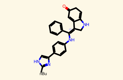 CCCCc1nc(-c2ccc(N/C(=C3\CNC4=CCC(=O)C=C43)c3ccccc3)cc2)c[nH]1